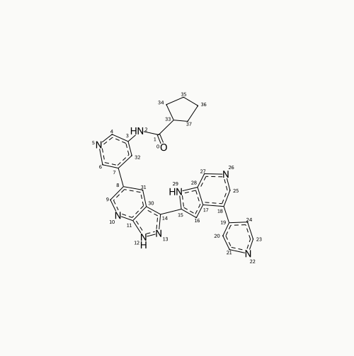 O=C(Nc1cncc(-c2cnc3[nH]nc(-c4cc5c(-c6ccncc6)cncc5[nH]4)c3c2)c1)C1CCCC1